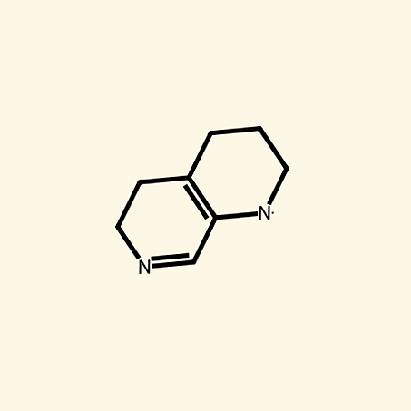 C1=NCCC2=C1[N]CCC2